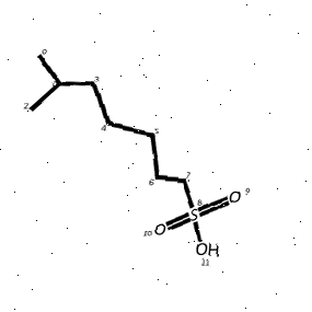 CC(C)CCCC[CH]S(=O)(=O)O